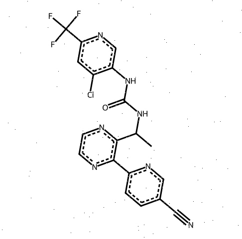 CC(NC(=O)Nc1cnc(C(F)(F)F)cc1Cl)c1nccnc1-c1ccc(C#N)cn1